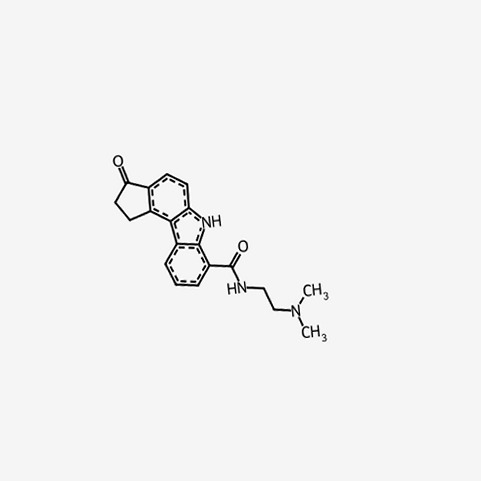 CN(C)CCNC(=O)c1cccc2c1[nH]c1ccc3c(c12)CCC3=O